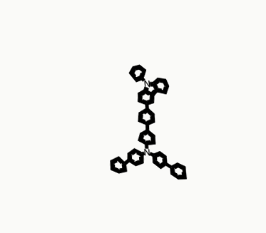 c1ccc(-c2ccc(N(c3ccc(-c4ccccc4)cc3)c3ccc(-c4ccc(-c5ccc6c(c5)c5ccccc5n6-c5ccccc5)cc4)cc3)cc2)cc1